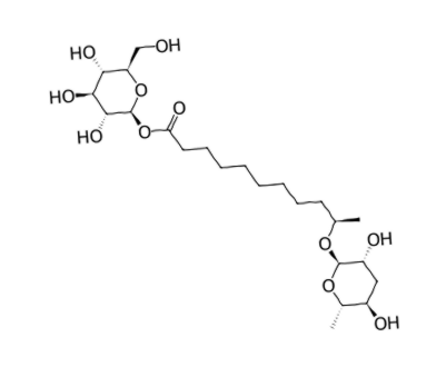 C[C@H](CCCCCCCCC(=O)O[C@@H]1O[C@H](CO)[C@@H](O)[C@H](O)[C@H]1O)O[C@@H]1O[C@@H](C)[C@H](O)C[C@H]1O